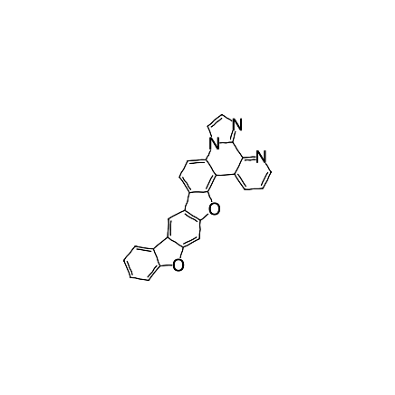 c1ccc2c(c1)oc1cc3oc4c(ccc5c4c4cccnc4c4nccn54)c3cc12